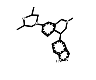 CC1CN(c2ccc3c(c2)CN(C)CC3c2ccc3[nH]ncc3c2)CC(C)O1